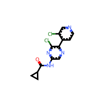 O=C(Nc1cnc(-c2ccncc2Cl)c(Cl)n1)C1CC1